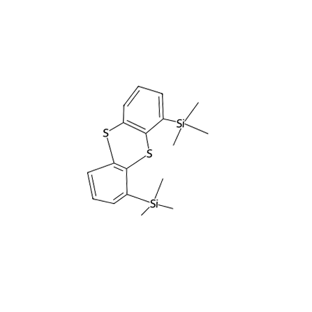 C[Si](C)(C)c1cccc2c1Sc1c(cccc1[Si](C)(C)C)S2